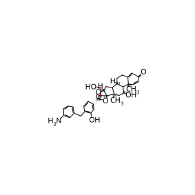 C[C@]12C=CC(=O)C=C1CC[C@@H]1C2[C@@H](O)C[C@@]2(C)C1C[C@H]1O[C@@H](c3ccc(Cc4cccc(N)c4)c(O)c3)O[C@]12C(=O)CO